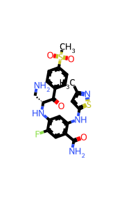 Cc1cc(Nc2cc(N[C@H](CN)C(=O)c3ccc(S(C)(=O)=O)cc3)c(F)cc2C(N)=O)sn1